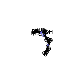 COc1cc(/C=C/COC(=O)CCCO[N+](=O)[O-])ccc1OC(=O)CCC/C=C\C[C@@H]1[C@@H](/C=C/[C@@H](O)COc2cccc(C(F)(F)F)c2)[C@H](O)C[C@@H]1O